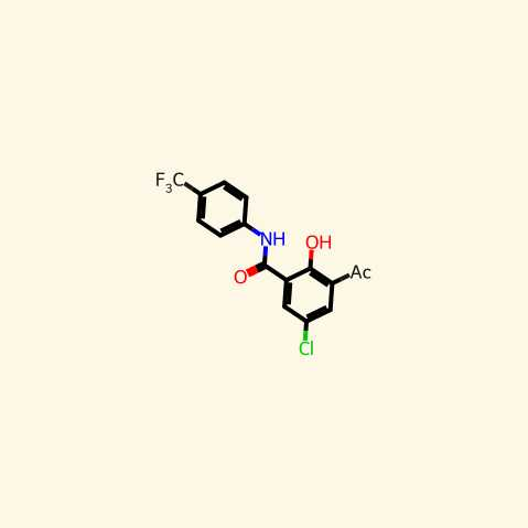 CC(=O)c1cc(Cl)cc(C(=O)Nc2ccc(C(F)(F)F)cc2)c1O